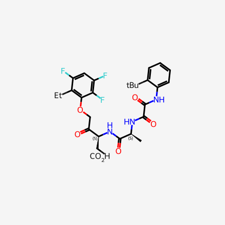 CCc1c(F)cc(F)c(F)c1OCC(=O)[C@H](CC(=O)O)NC(=O)[C@H](C)NC(=O)C(=O)Nc1ccccc1C(C)(C)C